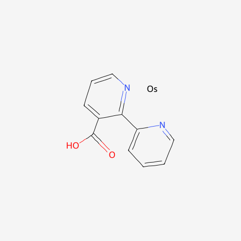 O=C(O)c1cccnc1-c1ccccn1.[Os]